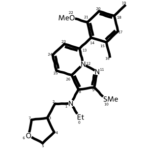 CCN(CC1CCOC1)c1c(SC)nn2c(-c3c(C)cc(C)cc3OC)cccc12